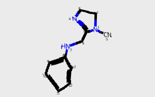 N#CN1CCN=C1CNc1ccccc1